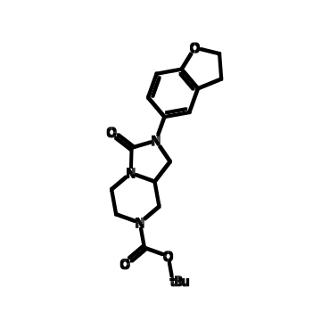 CC(C)(C)OC(=O)N1CCN2C(=O)N(c3ccc4c(c3)CCO4)CC2C1